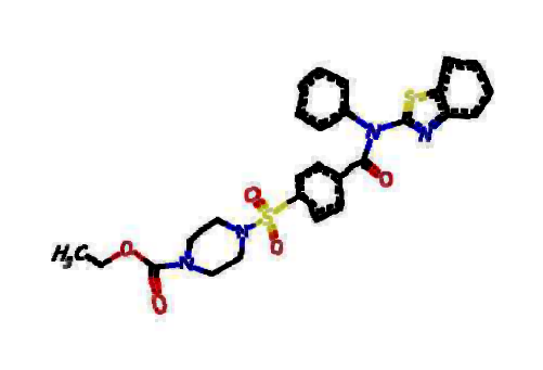 CCOC(=O)N1CCN(S(=O)(=O)c2ccc(C(=O)N(c3ccccc3)c3nc4ccccc4s3)cc2)CC1